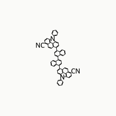 N#Cc1ccc2c3c1ccc1c(-c4ccc(-c5ccc(-c6ccc7c8c6ccc6c(C#N)ccc(c68)n7-c6ccccc6)c6ccccc56)c5ccccc45)ccc(c13)n2-c1ccccc1